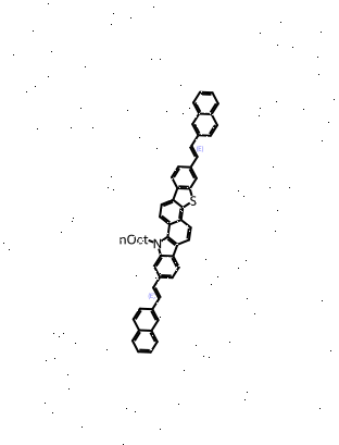 CCCCCCCCn1c2cc(/C=C/c3ccc4ccccc4c3)ccc2c2ccc3c(ccc4c5ccc(/C=C/c6ccc7ccccc7c6)cc5sc43)c21